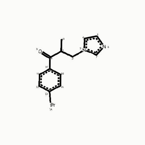 CC(Cn1ccnc1)C(=O)c1ccc(C(C)C)cc1